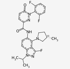 CC(C)n1nc(F)c2c(N3CC[C@H](C)C3)c(NC(=O)c3ccc(=O)n(-c4c(F)cccc4F)n3)ccc21